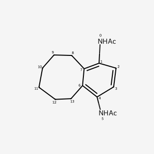 CC(=O)Nc1ccc(NC(C)=O)c2c1CCCCCC2